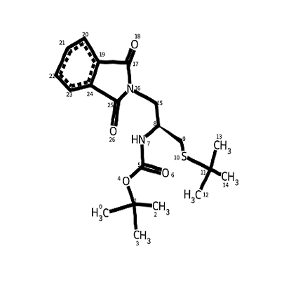 CC(C)(C)OC(=O)N[C@H](CSC(C)(C)C)CN1C(=O)c2ccccc2C1=O